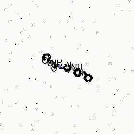 O=C(/C=C/c1ccc(N[C@@H]2CCCN(CC3CCCCC3)C2)nc1)NOC1CCCCO1